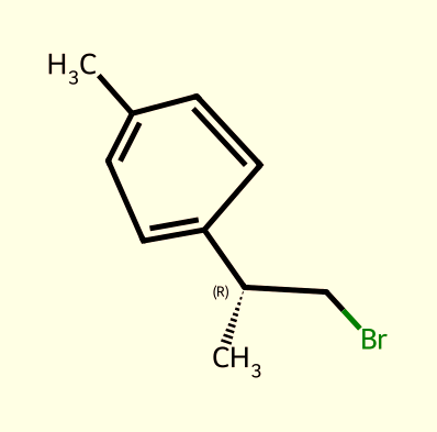 Cc1ccc([C@@H](C)CBr)cc1